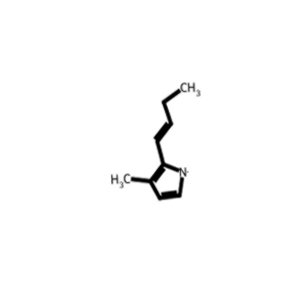 CCC=CC1=C(C)C=C[N]1